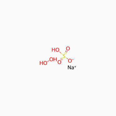 O=S(=O)([O-])O.OO.[Na+]